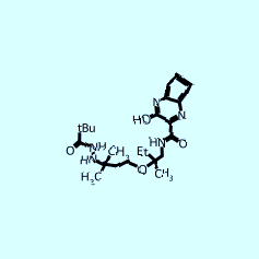 CCC(C)(CNC(=O)c1nc2ccccc2nc1O)OCCC(C)(C)NNC(=O)C(C)(C)C